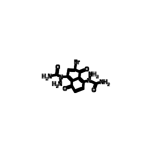 NC(=O)N(N)C1=C2C(=O)C=CC(N(N)C(N)=O)=C2C(=O)C(Br)=C1